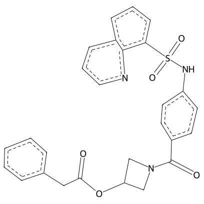 O=C(Cc1ccccc1)OC1CN(C(=O)c2ccc(NS(=O)(=O)c3cccc4cccnc34)cc2)C1